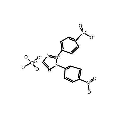 O=[N+]([O-])c1ccc(-n2ncn[n+]2-c2ccc([N+](=O)[O-])cc2)cc1.[O-][Cl+3]([O-])([O-])[O-]